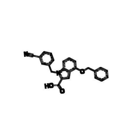 N#Cc1cccc(Cn2c(C(=O)O)cc3c(OCc4ccccc4)cccc32)c1